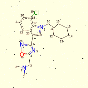 CN(C)Cc1nc(-c2cn(CC3CCCCC3)c3c(Cl)cccc23)no1